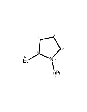 CCCN1CCCC1CC